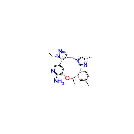 CCn1ncc2c1-c1cnc(N)c(c1)OC(C)c1cc(C)ccc1-c1nc(C)cn1C2